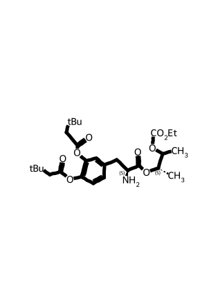 CCOC(=O)OC(C)[C@H](C)OC(=O)[C@@H](N)Cc1ccc(OC(=O)CC(C)(C)C)c(OC(=O)CC(C)(C)C)c1